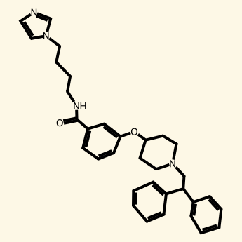 O=C(NCCCCn1ccnc1)c1cccc(OC2CCN(CC(c3ccccc3)c3ccccc3)CC2)c1